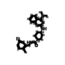 Cc1ccc(F)cc1CNC(=O)[C@H]1CC[C@@H](Nc2nc(N(C)C)c3ccccc3n2)CC1